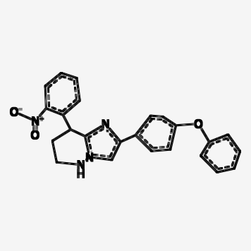 O=[N+]([O-])c1ccccc1C1CCNn2cc(-c3ccc(Oc4ccccc4)cc3)nc21